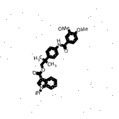 COc1ccc(C(=O)Nc2ccc(C(C)(C)COC(=O)c3cn(C(C)C)c4ccccc34)cc2)cc1OC